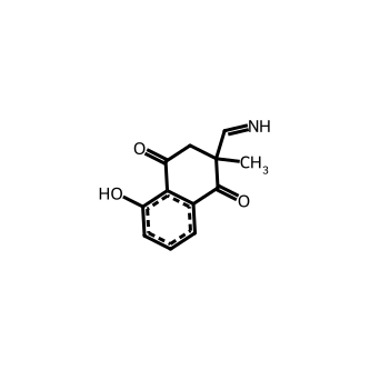 CC1(C=N)CC(=O)c2c(O)cccc2C1=O